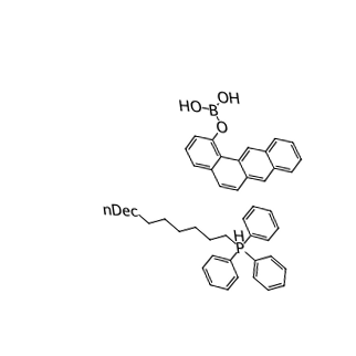 CCCCCCCCCCCCCCCC[PH](c1ccccc1)(c1ccccc1)c1ccccc1.OB(O)Oc1cccc2ccc3cc4ccccc4cc3c12